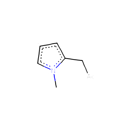 CC(=O)Cc1cccn1C